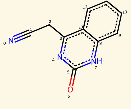 N#CCc1nc(=O)[nH]c2ccccc12